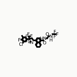 Cc1cc(C2(C(F)(F)F)CC(c3ccc(C(=O)NCC(=O)NCC(F)(F)F)c4c3=CCCC=4)=NO2)cc(Cl)c1F